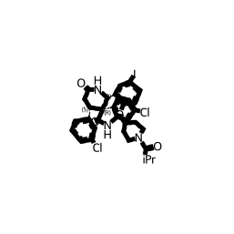 CC(C)C(=O)N1CCC(Oc2ccc(I)cc2[C@H]2NC(=O)C[C@@H](c3cccc(Cl)c3)[C@]23C(=O)Nc2cc(Cl)ccc23)CC1